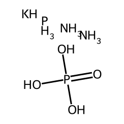 N.N.O=P(O)(O)O.P.[KH]